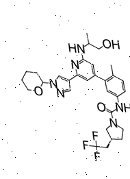 Cc1ccc(NC(=O)N2CC[C@@H](CC(F)(F)F)C2)cc1-c1cc(NC(C)CO)nc(-c2cnn(C3CCCCO3)c2)c1